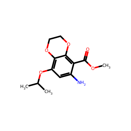 COC(=O)c1c(N)cc(OC(C)C)c2c1OCCO2